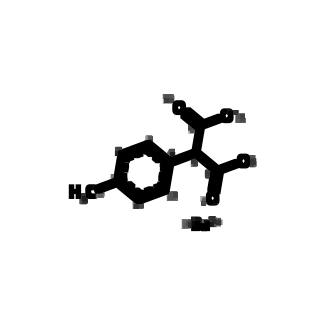 Cc1ccc(C(C(=O)[O-])C(=O)[O-])cc1.[Ba+2]